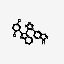 Clc1ccc(Cl)c(-c2nc3ccccn3c2-c2nncn2-c2ccc3[nH]ncc3c2)c1